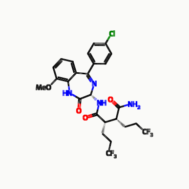 COc1cccc2c1NC(=O)[C@@H](NC(=O)[C@@H](CCC(F)(F)F)[C@@H](CCC(F)(F)F)C(N)=O)N=C2c1ccc(Cl)cc1